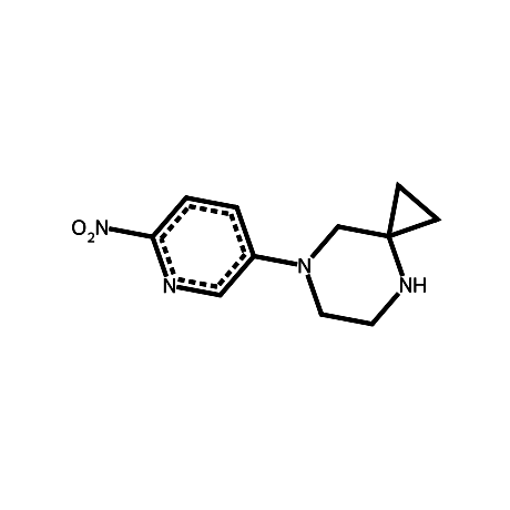 O=[N+]([O-])c1ccc(N2CCNC3(CC3)C2)cn1